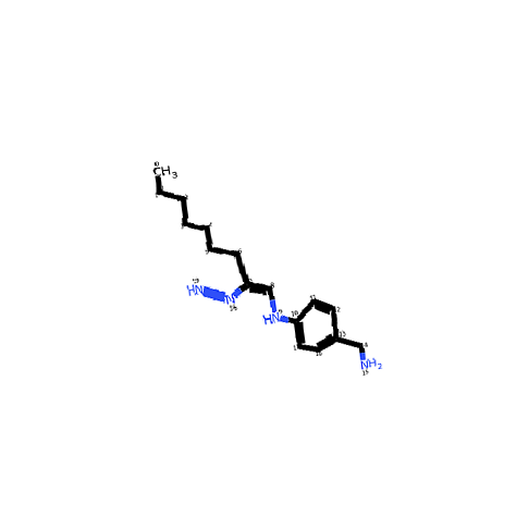 CCCCCCC/C(=C/Nc1ccc(CN)cc1)N=N